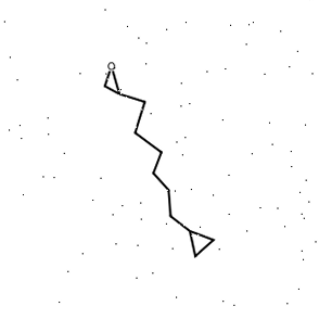 C(CCCC1CO1)CCC1CC1